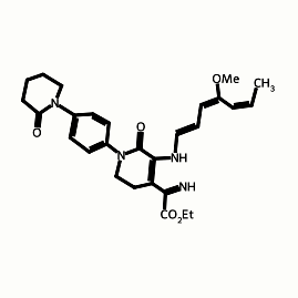 C\C=C/C(=C\C=C\NC1=C(C(=N)C(=O)OCC)CCN(c2ccc(N3CCCCC3=O)cc2)C1=O)OC